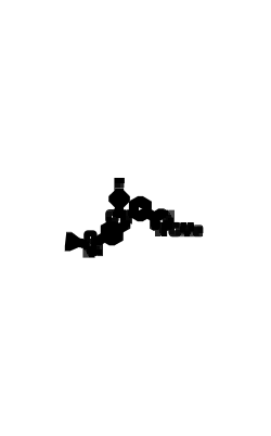 COc1ncc(-c2cccc(N(CC34CCC(c5nnc(C6CC6)o5)(CC3)CC4)C(=O)C34CC(F)(C3)C4)c2)cn1